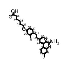 Cc1ccc2c(c1)nc(N)c1ncc(CCc3ccc(OCCCCCC(=O)O)cc3C)cc12